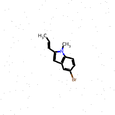 CC=Cc1cc2cc(Br)ccc2n1C